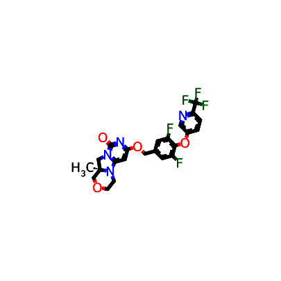 C[C@@]12COCCN1c1cc(OCc3cc(F)c(Oc4ccc(C(F)(F)F)nc4)c(F)c3)nc(=O)n1C2